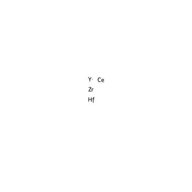 [Ce].[Hf].[Y].[Zr]